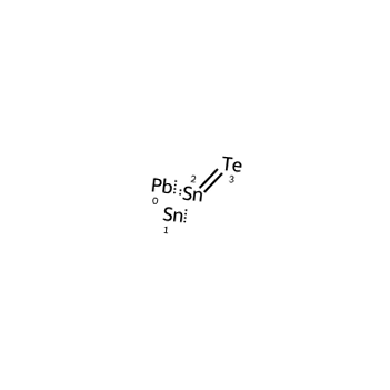 [Pb].[Sn].[Sn]=[Te]